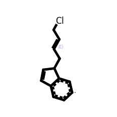 ClC/C=C/CC1C=Cc2cc[c]cc21